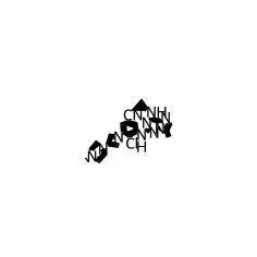 Cc1cnc2c(NC3CC3)nc(Nc3cc(C#N)cc(N4CC(N5CCN(C)CC5)C4)c3Cl)nn12